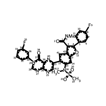 CNC(=O)c1c(-c2ccc(F)cc2)oc2cc(N(C)S(C)(=O)=O)c(-c3cnc4ncn(-c5cccc(F)c5)c(=O)c4n3)cc12